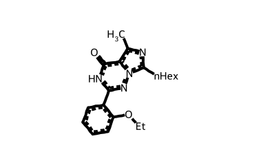 CCCCCCc1nc(C)c2c(=O)[nH]c(-c3ccccc3OCC)nn12